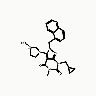 Cn1c(=O)c2c(N3CC[C@@H](O)C3)n(Cc3cccc4ccccc34)nc2n(CC2CC2)c1=O